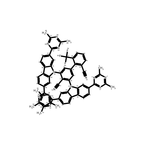 Cc1nc(C)nc(-c2ccc3c4ccc(-c5nc(C)nc(C)n5)cc4n(-c4cc(-c5c(C#N)cccc5C(F)(F)F)cc(-n5c6cc(-c7nc(C)nc(C)n7)ccc6c6ccc(-c7nc(C)nc(C)n7)cc65)c4C#N)c3c2)n1